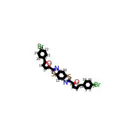 Brc1ccc(-c2ccc(-c3nc4cc5sc(-c6ccc(-c7ccc(Br)cc7)o6)nc5cc4s3)o2)cc1